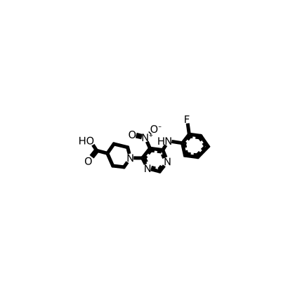 O=C(O)C1CCN(c2ncnc(Nc3ccccc3F)c2[N+](=O)[O-])CC1